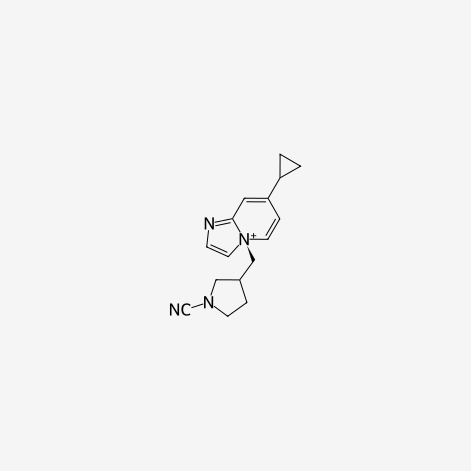 N#CN1CCC(C[N@@+]23C=CN=C2C=C(C2CC2)C=C3)C1